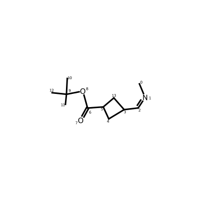 C/N=C\C1CC(C(=O)OC(C)(C)C)C1